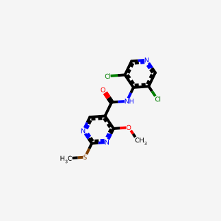 COc1nc(SC)ncc1C(=O)Nc1c(Cl)cncc1Cl